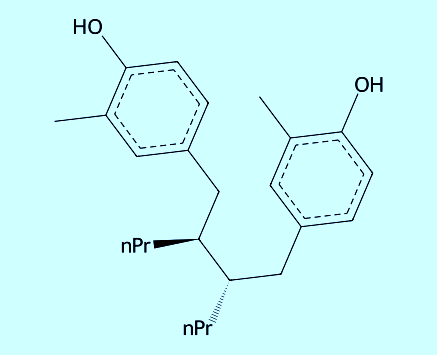 CCC[C@@H](Cc1ccc(O)c(C)c1)[C@@H](CCC)Cc1ccc(O)c(C)c1